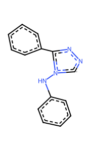 [c]1nnc(-c2ccccc2)n1Nc1ccccc1